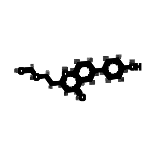 O=COCCc1cc(=O)c2cc(-c3ccc(O)cc3)ccc2o1